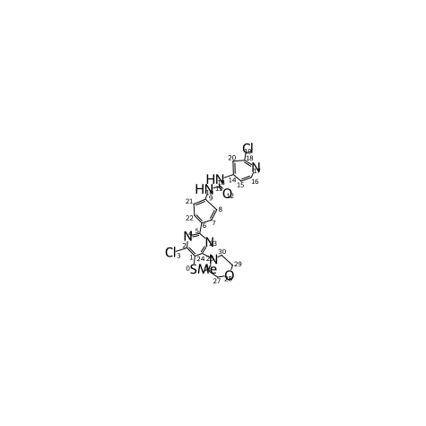 CSc1c(Cl)nc(-c2ccc(NC(=O)Nc3ccnc(Cl)c3)cc2)nc1N1CCOCC1